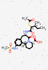 CC[C@H](C)[C@H](SC(C)=O)C(=O)N[C@H]1Cc2ccc(NS(C)(=O)=O)cc2[C@H]2CCC[C@@H](C(=O)O)N2C1=O